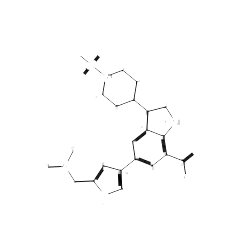 CCS(=O)(=O)N1CCC(C2CNc3c(C(N)=O)cc(-c4csc(CN(C)C)c4)cc32)CC1